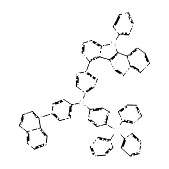 c1ccc(-n2c3cccc(-c4ccc(N(c5ccc(-c6cccc7ccccc67)cc5)c5ccc([Si](c6ccccc6)(c6ccccc6)c6ccccc6)cc5)cc4)c3c3ccc4ccccc4c32)cc1